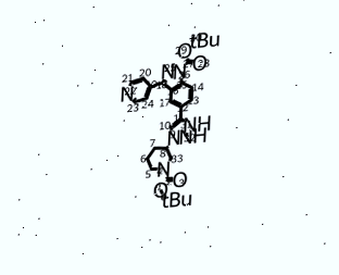 CC(C)(C)OC(=O)N1CCC[C@@H](N2C=C(c3ccc4c(c3)c(-c3ccncc3)nn4C(=O)OC(C)(C)C)NN2)C1